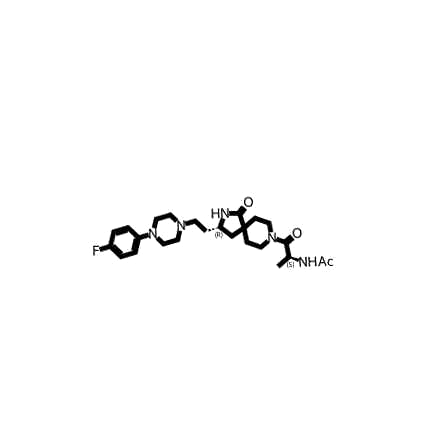 CC(=O)N[C@@H](C)C(=O)N1CCC2(CC1)C[C@H](CCN1CCN(c3ccc(F)cc3)CC1)NC2=O